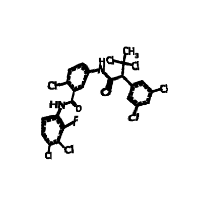 CC(Cl)(Cl)C(C(=O)Nc1ccc(Cl)c(C(=O)Nc2ccc(Cl)c(Cl)c2F)c1)c1cc(Cl)cc(Cl)c1